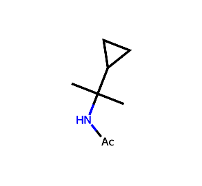 CC(=O)NC(C)(C)C1CC1